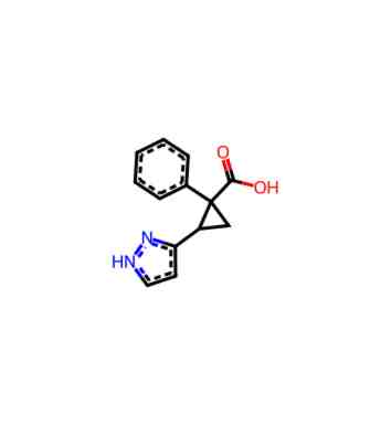 O=C(O)C1(c2ccccc2)CC1c1cc[nH]n1